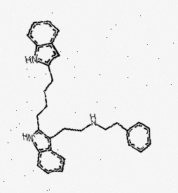 c1ccc(CCNCCc2c(CCCCc3cc4ccccc4[nH]3)[nH]c3ccccc23)cc1